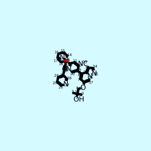 CC(C)(O)COc1cc(-c2ccc(N3CC4CC(C3)N4CC#Cc3cccnc3)nc2)c2c(C#N)cnn2c1